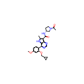 COc1ccc(-c2ncnc3c(C(=O)N[C@@H]4CCN(C(C)=O)C4)c(C)[nH]c23)c(OCC2CC2)c1